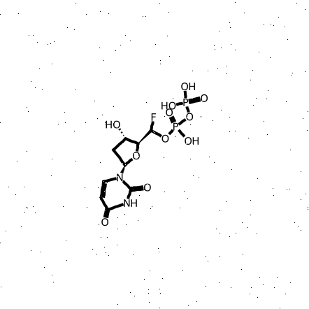 O=c1ccn([C@H]2C[C@H](O)[C@@H](C(F)OP(=O)(O)OP(=O)(O)O)O2)c(=O)[nH]1